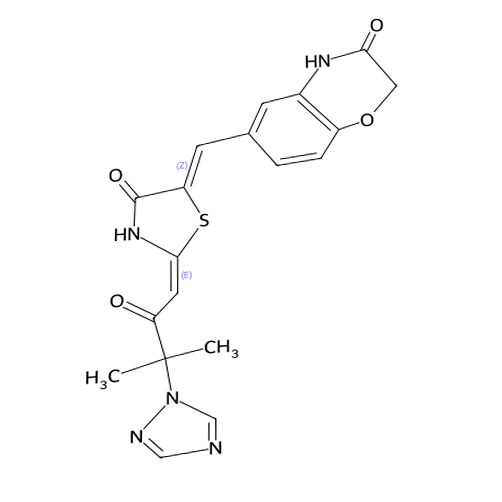 CC(C)(C(=O)/C=c1\[nH]c(=O)/c(=C/c2ccc3c(c2)NC(=O)CO3)s1)n1cncn1